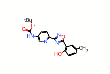 Cc1ccc(O)c(-c2nc(-c3ccc(NC(=O)OC(C)(C)C)cn3)no2)c1